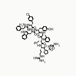 CC(C)C[C@H](NC(=O)[C@@H](Cc1ccccc1)NC(=O)[C@H](Cc1ccc(O)cc1)NC(=O)[C@@H](Cc1c[nH]c2ccccc12)NC(=O)[C@H](Cc1ccc(Cl)cc1)NC(=O)[C@H](N)Cc1ccccc1)C(=O)N[C@@H](CCCNC(=N)N)C(=O)N1CCC[C@H]1C(=O)NCC(N)=O